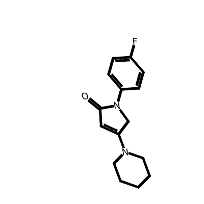 O=C1C=C(N2CCCCC2)CN1c1ccc(F)cc1